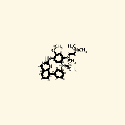 COc1cc(N(C)CCN(C)C)c(NC(C)=O)cc1Nc1ncc2cccc(-c3cccc(F)c3)c2n1